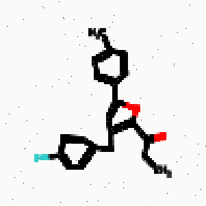 CCC(=O)c1oc(-c2ccc(C)cc2)cc1Cc1ccc(F)cc1